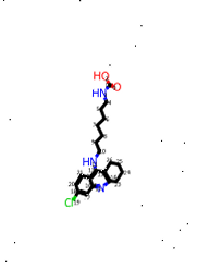 O=C(O)NCCCCCCCNc1c2c(nc3cc(Cl)ccc13)CCCC2